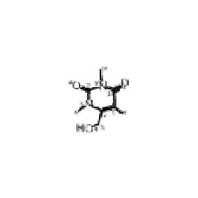 Cc1c(CO)n(C)c(=O)n(C)c1=O